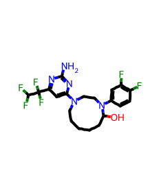 Nc1nc(N2CCCCCC(O)N(c3ccc(F)c(F)c3)CC2)cc(C(F)(F)C(F)F)n1